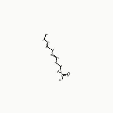 CC/C=C/C/C=C/CCOC(C)=O